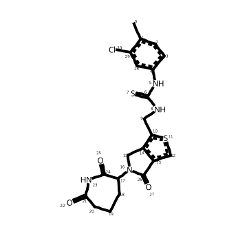 Cc1ccc(NC(=S)NCc2scc3c2CN(C2CCCC(=O)NC2=O)C3=O)cc1Cl